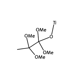 COC(C)(OC)C(OC)(OC)[O][Ti]